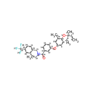 C=CC(C)(C)Oc1ccc(Oc2cccc(C(=O)N(CC)Cc3ccc(C(F)(F)F)cc3)c2)cc1C